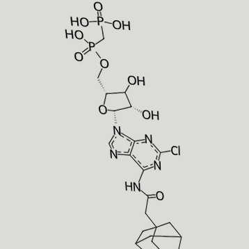 O=C(CC12CC3CC(CC(C3)C1)C2)Nc1nc(Cl)nc2c1ncn2[C@@H]1O[C@H](COP(=O)(O)CP(=O)(O)O)C(O)[C@@H]1O